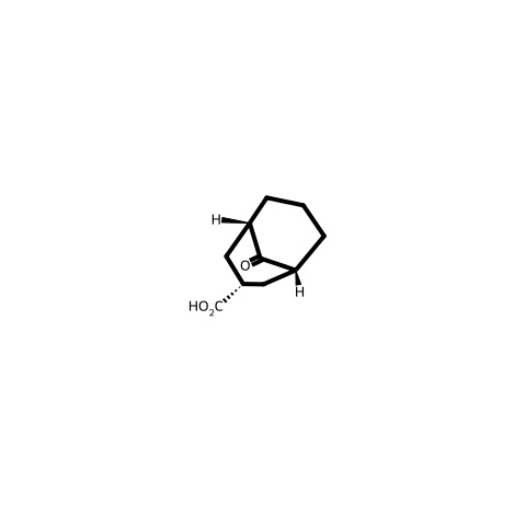 O=C(O)[C@H]1C[C@H]2CCC[C@@H](C1)C2=O